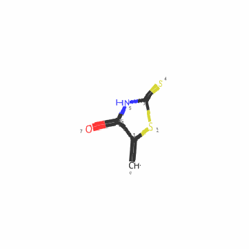 [CH]=C1SC(=S)NC1=O